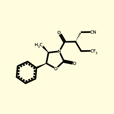 C[C@@H]1[C@H](c2ccccc2)OC(=O)N1C(=O)[C@H](CC#N)CC(F)(F)F